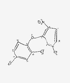 O=[N+]([O-])c1ccc(Cl)cc1Oc1ccc(Cl)cc1Cl